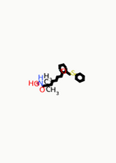 CC(C)(CCCCCC1C2CCC(O2)C1CSC1CCCCC1)C(=O)NO